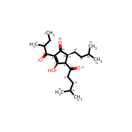 CCC(C)C(=O)C1=C(O)C(C(=O)CCC(C)C)[C@H](CCC(C)C)C1=O